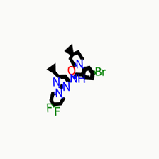 O=C(Nc1cc(C2CC2)nc(N2CCC(F)(F)CC2)n1)c1ccc(Br)cc1N1CCC2(CC1)CC2